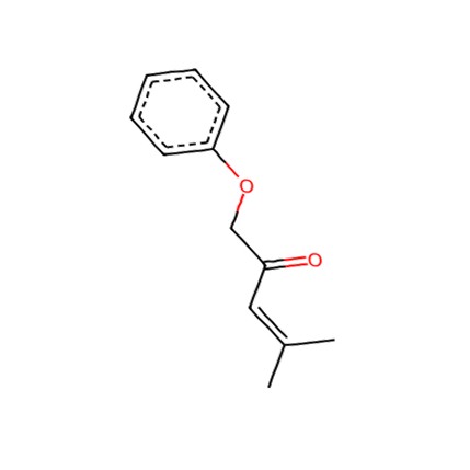 CC(C)=CC(=O)COc1ccccc1